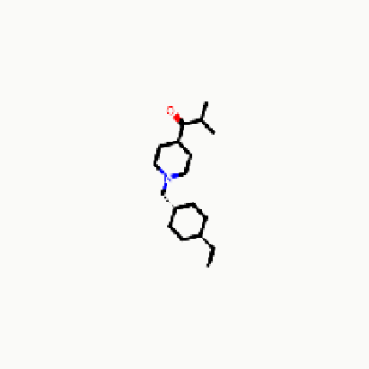 CC[C@H]1CC[C@H](CN2CCC(C(=O)C(C)C)CC2)CC1